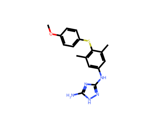 COc1ccc(Sc2c(C)cc(Nc3n[nH]c(N)n3)cc2C)cc1